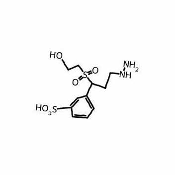 NNCCC(c1cccc(S(=O)(=O)O)c1)S(=O)(=O)CCO